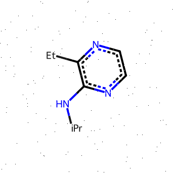 CCc1nccnc1NC(C)C